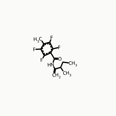 C=C(NC(=O)c1c(F)c(F)c(C)c(F)c1F)C(C)CC